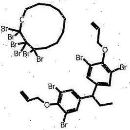 BrC1(Br)CCCCCCCCCC(Br)(Br)C1(Br)Br.C=CCOc1c(Br)cc(C(CC)c2cc(Br)c(OCC=C)c(Br)c2)cc1Br